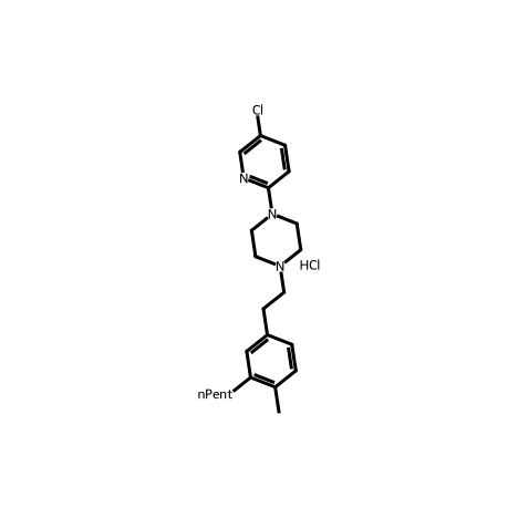 CCCCCc1cc(CCN2CCN(c3ccc(Cl)cn3)CC2)ccc1C.Cl